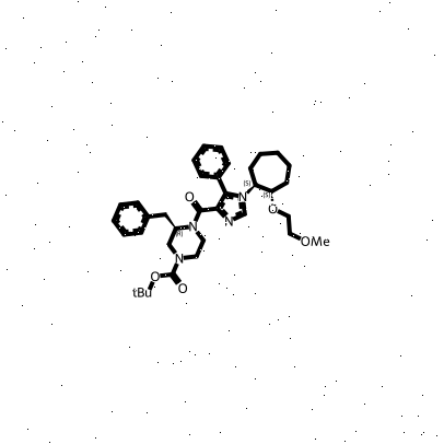 COCCO[C@H]1CCCCC[C@@H]1n1cnc(C(=O)N2CCN(C(=O)OC(C)(C)C)C[C@H]2Cc2ccccc2)c1-c1ccccc1